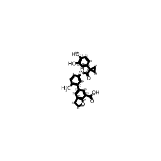 Cc1ccc(NC(=O)C2(c3ccc(O)c(O)c3)CC2)cc1-c1cc2c(c(C(=O)O)c1)OCC2